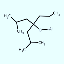 CCCC(CC(C)C)(CC(C)C)[O][Al]